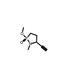 C#CC1CCP(=O)(OC)N1C